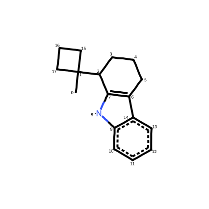 CC1(C2CCCC3=C2[N]c2ccccc23)CCC1